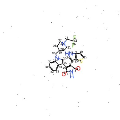 O=C1NC(=O)C(c2c[nH]c3ccsc23)=C1c1cn(CC2CCN(CC(F)F)CC2)c2ccccc12